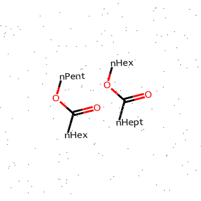 CCCCCCC(=O)OCCCCC.CCCCCCCC(=O)OCCCCCC